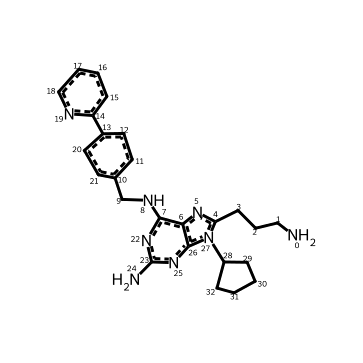 NCCCc1nc2c(NCc3ccc(-c4ccccn4)cc3)nc(N)nc2n1C1CCCC1